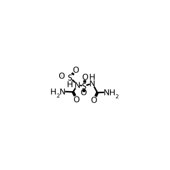 NC(=O)NS(=O)(=O)N(C(N)=O)[SH](=O)=O